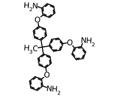 CC(c1ccc(Oc2ccccc2N)cc1)(c1ccc(Oc2ccccc2N)cc1)c1ccc(Oc2ccccc2N)cc1